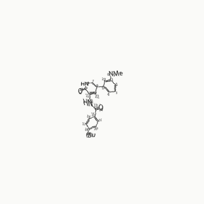 CNc1cccc(-c2c[nH]c(=O)c(NC(=O)c3ccc(C(C)(C)C)cc3)c2)c1